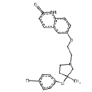 CC1(Oc2ccc(Cl)cc2)CCN(CCOc2ccc3[nH]c(=O)ccc3c2)C1